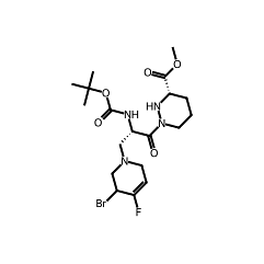 COC(=O)[C@@H]1CCCN(C(=O)[C@H](CN2CC=C(F)C(Br)C2)NC(=O)OC(C)(C)C)N1